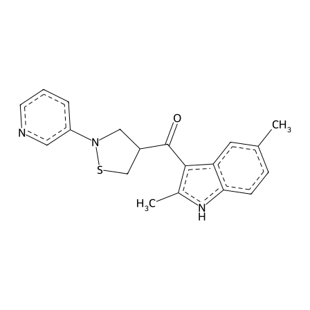 Cc1ccc2[nH]c(C)c(C(=O)C3CSN(c4cccnc4)C3)c2c1